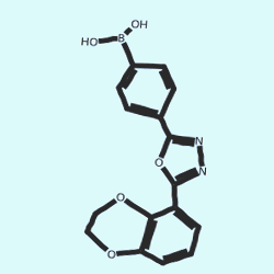 OB(O)c1ccc(-c2nnc(-c3cccc4c3OCCO4)o2)cc1